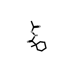 CC(=O)ONC(=O)C1(C)CCCCC1